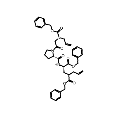 C=CCC(C[C@@H](NC(=O)[C@@H]1CCCN1C(=O)CN(CC=C)C(=O)OCc1ccccc1)C(=O)OCc1ccccc1)C(=O)OCc1ccccc1